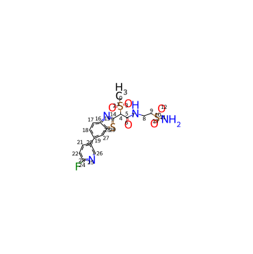 CS(=O)(=O)C(C(=O)NCCS(N)(=O)=O)c1nc2ccc(-c3ccc(F)nc3)cc2s1